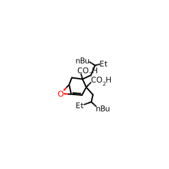 CCCCC(CC)CC1(C(=O)O)C=C2OC2CC1(CC(CC)CCCC)C(=O)O